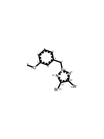 COc1cccc(Cn2nc(Br)c(Br)n2)c1